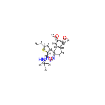 CCc1cc(C2=C(N)CCc3cc(OC)c(OC)cc32)c(C(=O)NC(C)(C)C)s1